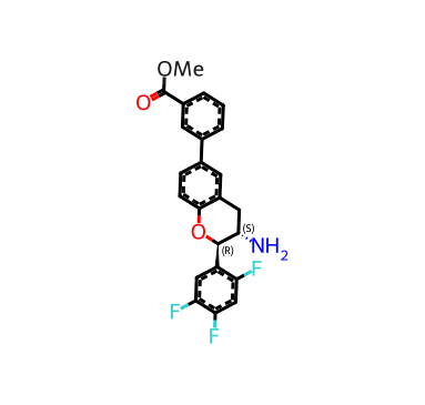 COC(=O)c1cccc(-c2ccc3c(c2)C[C@H](N)[C@@H](c2cc(F)c(F)cc2F)O3)c1